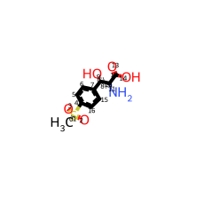 CS(=O)(=O)c1ccc([C@H](O)[C@H](N)C(=O)O)cc1